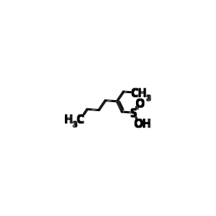 CCCCC(=CS(=O)O)CC